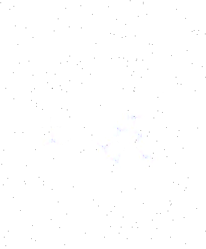 CCCCNc1nc(N)c2ncn(CCCCN(C)C(C)(C)C)c2n1